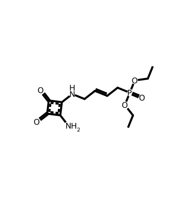 CCOP(=O)(CC=CCNc1c(N)c(=O)c1=O)OCC